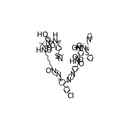 Cc1ncsc1-c1ccc([C@H](C)NC(=O)[C@@H]2C[C@@H](O)CN2C(=O)[C@@H](NC(=O)CCCCCCC(=O)N2CCN(C[C@]3(C)CCC(c4ccc(Cl)cc4)=C(CN4CCN(c5ccc(C(=O)NS(=O)(=O)c6ccc(N[C@H](CCN7CC8CCC7C8)CSc7ccccc7)c([N+](=O)[O-])c6)cc5)CC4)C3)CC2)C(C)(C)C)cc1